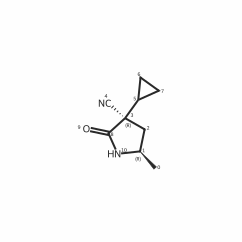 C[C@@H]1C[C@](C#N)(C2CC2)C(=O)N1